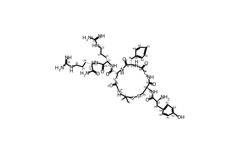 CC1(C)CNC(=O)C[C@H](C(=O)N[C@@H](CCCNC(=N)N)C(=O)N[C@@H](CCCNC(=N)N)C(N)=O)NC(=O)[C@H](Cc2ccccc2)NC(=O)CNC(=O)[C@@H](NC(=O)[C@@H](N)Cc2ccc(O)cc2)CSS1